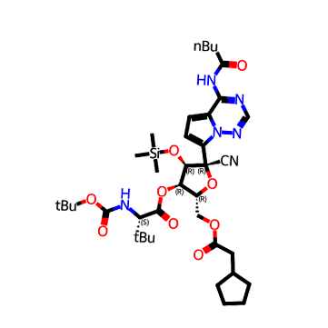 CCCCC(=O)Nc1ncnn2c([C@]3(C#N)O[C@H](COC(=O)CC4CCCC4)[C@@H](OC(=O)[C@@H](NC(=O)OC(C)(C)C)C(C)(C)C)[C@H]3O[Si](C)(C)C)ccc12